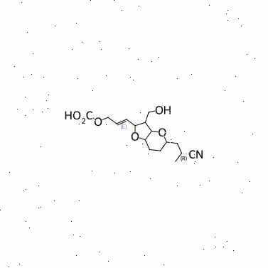 C[C@@H](C#N)CC1CCC2OC(/C=C/COC(=O)O)C(CO)C2O1